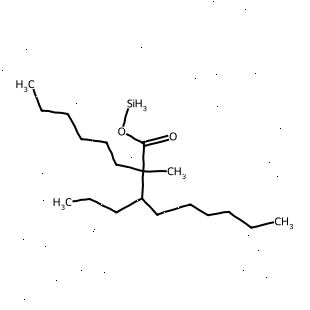 CCCCCCC(CCC)C(C)(CCCCCC)C(=O)O[SiH3]